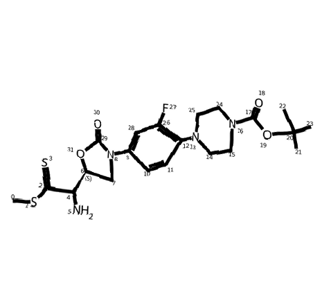 CSC(=S)C(N)[C@@H]1CN(c2ccc(N3CCN(C(=O)OC(C)(C)C)CC3)c(F)c2)C(=O)O1